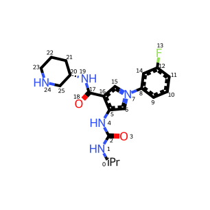 CC(C)NC(=O)Nc1cn(-c2cccc(F)c2)cc1C(=O)N[C@H]1CCCNC1